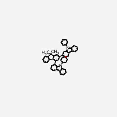 CC1(C)c2ccccc2-c2c(-c3cccc4c5ccccc5n(-c5ccccc5)c34)cc(-c3ccc4c5ccccc5n(-c5ccccc5)c4c3)cc21